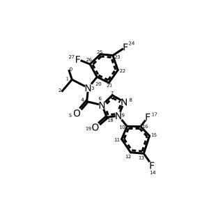 CC(C)N(C(=O)n1cnn(-c2ccc(F)cc2F)c1=O)c1ccc(F)cc1F